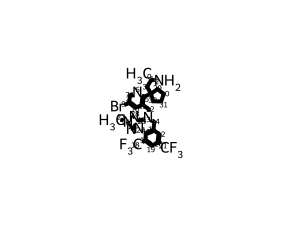 CC(N)CC1(c2ncc(Br)cc2CN(Cc2cc(C(F)(F)F)cc(C(F)(F)F)c2)c2nnn(C)n2)CCCC1